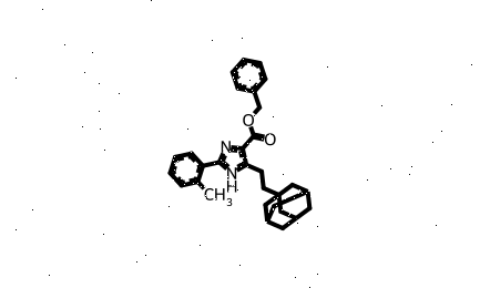 Cc1ccccc1-c1nc(C(=O)OCc2ccccc2)c(CCC23CC4CC(CC(C4)C2)C3)[nH]1